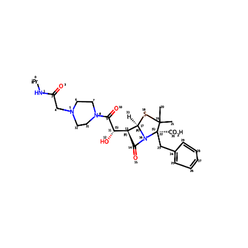 CC(C)NC(=O)CN1CCN(C(=O)[C@@H](O)[C@@H]2C(=O)N3[C@@H]2SC(C)(C)[C@]3(Cc2ccccc2)C(=O)O)CC1